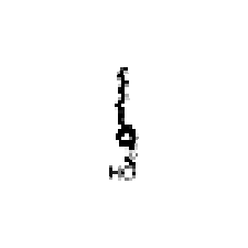 CCCCCCCCc1ccc(OCCO)cc1